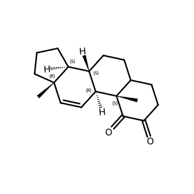 C[C@]12C(=O)C(=O)CCC1CC[C@@H]1[C@@H]2C=C[C@]2(C)CCC[C@@H]12